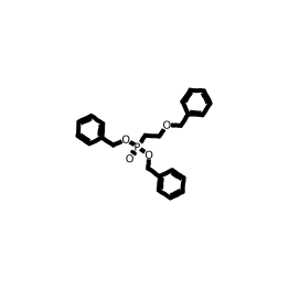 O=P(CCOCc1ccccc1)(OCc1ccccc1)OCc1ccccc1